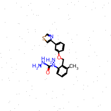 Cc1cccc(N(N)C(=O)NN)c1COc1cccc(-c2cscn2)c1